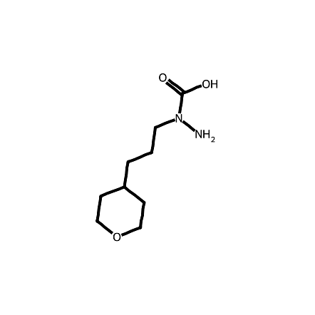 NN(CCCC1CCOCC1)C(=O)O